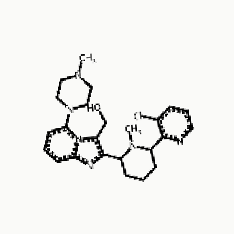 CN1CCN(c2cccc3nc(C4CCCC(c5ncccc5Cl)N4C)c(CO)n23)CC1